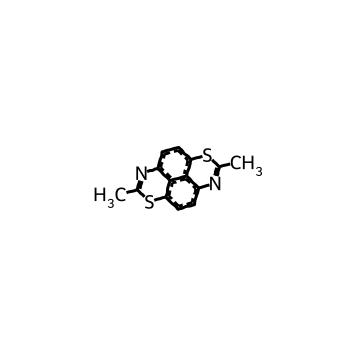 CC1=Nc2ccc3c4c(ccc(c24)S1)N=C(C)S3